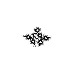 C=CCC(/C=C\CC1(c2ccc(N(c3ccc(C)cc3)c3ccc(C)cc3)cc2)CCCCC1)N(c1ccc(C)cc1)c1ccc(C)cc1